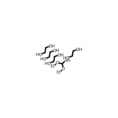 CCCC(OCC)OCC.OCCO.OCCO.OCCO.OCCO